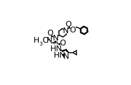 CN1C[C@H](C(=O)Nc2cc(C3CC3)n[nH]2)N(C2CCN(C(=O)OCc3ccccc3)CC2)C1=O